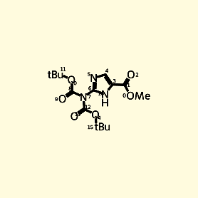 COC(=O)c1cnc(N(C(=O)OC(C)(C)C)C(=O)OC(C)(C)C)[nH]1